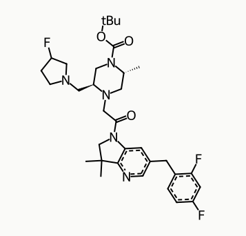 C[C@@H]1CN(CC(=O)N2CC(C)(C)c3ncc(Cc4ccc(F)cc4F)cc32)[C@@H](CN2CCC(F)C2)CN1C(=O)OC(C)(C)C